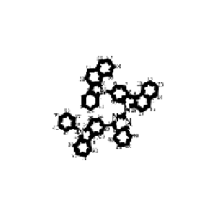 C1=Cc2c(n(-c3ccc4c5c6ccccc6ccc5n(-c5nc(-c6ccc7c(c6)c6ccccc6n7-c6ccccc6)c6ccccc6n5)c4c3)c3c2ccc2ccccc23)CC1